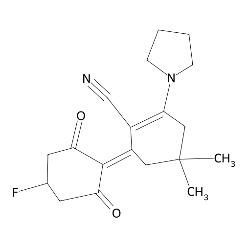 CC1(C)CC(=C2C(=O)CC(F)CC2=O)C(C#N)=C(N2CCCC2)C1